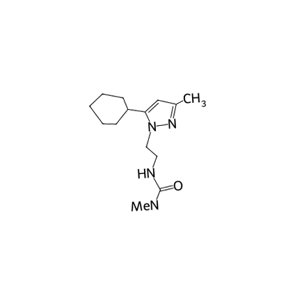 CNC(=O)NCCn1nc(C)cc1C1CCCCC1